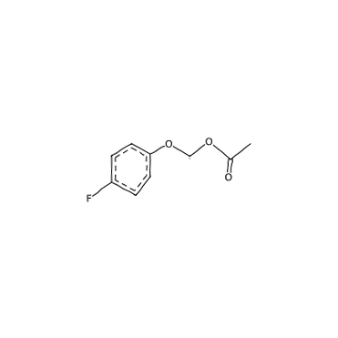 CC(=O)O[CH]Oc1ccc(F)cc1